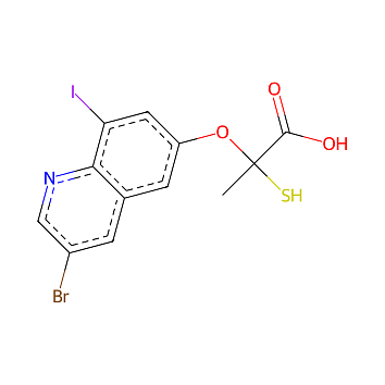 CC(S)(Oc1cc(I)c2ncc(Br)cc2c1)C(=O)O